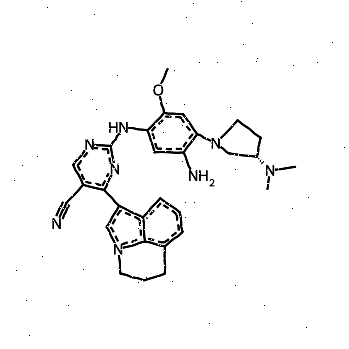 COc1cc(N2CC[C@H](N(C)C)C2)c(N)cc1Nc1ncc(C#N)c(-c2cn3c4c(cccc24)CCC3)n1